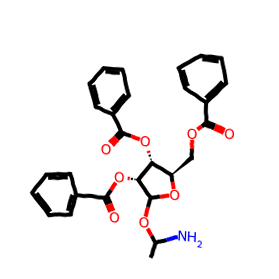 CC(N)OC1O[C@H](COC(=O)c2ccccc2)[C@@H](OC(=O)c2ccccc2)[C@H]1OC(=O)c1ccccc1